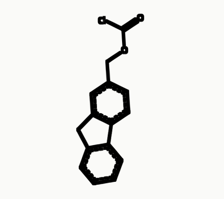 O=C(Cl)OCc1ccc2c(c1)Cc1ccccc1-2